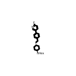 CCCCCC[C@H]1CC[C@H](CCc2ccc(-c3ccc(F)nc3)cc2)CC1